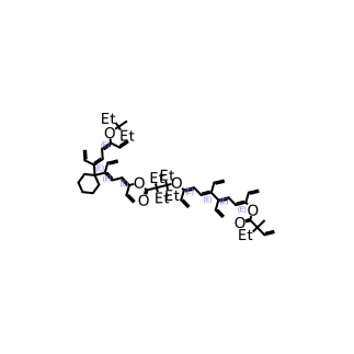 C=C\C(=C/C=C(C=C)/C(C=C)=C/C=C(\C=C)OC(CC)(CC)C(CC)(CC)C(=O)O/C(C=C)=C/C=C(\C=C)C1(/C(C=C)=C/C=C(\C=C)OC(C)(CC)CC)CCCCC1)OC(=O)C(C)(C=C)CC